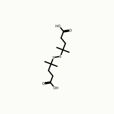 CC(C)(CCC(=O)O)SSC(C)(C)CCC(=O)O